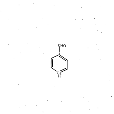 O=CC1=C[CH]=[GeH][CH]=C1